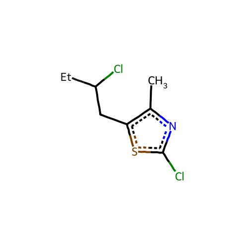 CCC(Cl)Cc1sc(Cl)nc1C